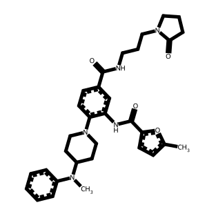 Cc1ccc(C(=O)Nc2cc(C(=O)NCCCN3CCCC3=O)ccc2N2CCC(N(C)c3ccccc3)CC2)o1